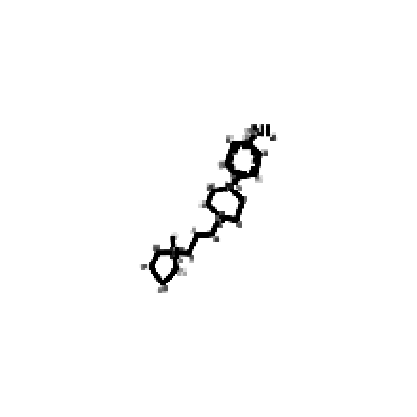 C[N+]1(CCCN2CCN(c3ccc(N)cc3)CC2)CCCC1